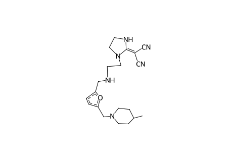 CC1CCN(Cc2ccc(CNCCN3CCNC3=C(C#N)C#N)o2)CC1